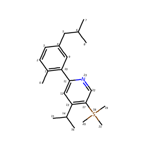 Cc1ccc(CC(C)C)cc1-c1cc(C(C)C)c(S(C)(C)C)cn1